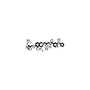 Cc1ncoc1COc1ccc2c(c1C)CCN(C[C@@H](O)CNC(=O)c1ccnc(NC3CCCC3)c1)C2